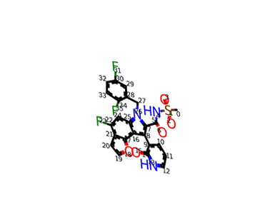 CS(=O)(=O)NC(=O)c1c(-c2ccc[nH]c2=O)c2c3occc3c(F)cc2n1Cc1cc(F)ccc1F